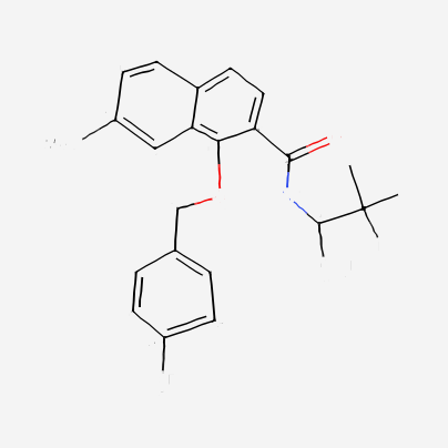 CCC(C)(C)C(NC(=O)c1ccc2ccc(OC)cc2c1OCc1ccc(C(F)(F)F)cc1)C(=O)O